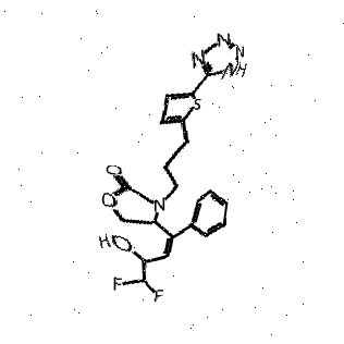 O=C1OCC(C(=CC(O)C(F)F)c2ccccc2)N1CCCc1ccc(-c2nnn[nH]2)s1